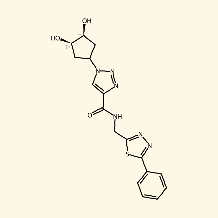 O=C(NCc1nnc(-c2ccccc2)s1)c1cn(C2C[C@@H](O)[C@@H](O)C2)nn1